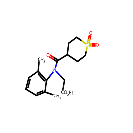 CCOC(=O)CN(C(=O)C1CCS(=O)(=O)CC1)c1c(C)cccc1C